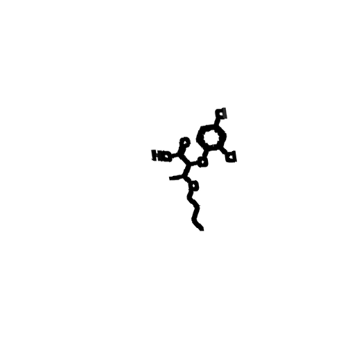 CCCCOC(C)C(Oc1ccc(Cl)cc1Cl)C(=O)O